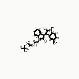 CN1C(=O)/C(=C2/C(=O)N(CCNC(=O)OC(C)(C)C)c3ccccc32)c2cc(Br)ccc21